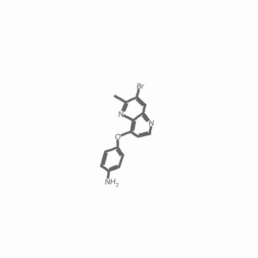 Cc1nc2c(Oc3ccc(N)cc3)ccnc2cc1Br